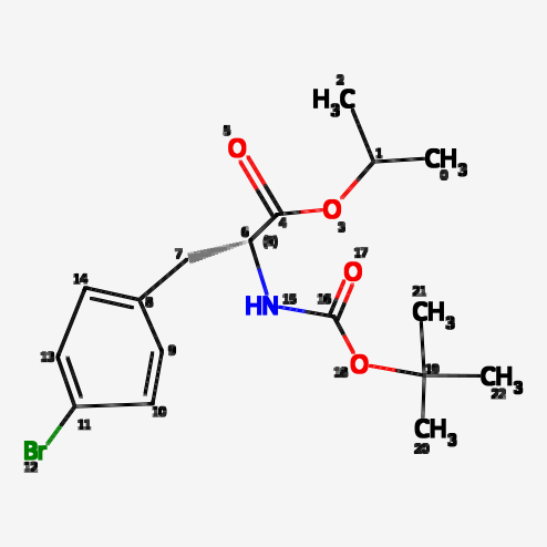 CC(C)OC(=O)[C@@H](Cc1ccc(Br)cc1)NC(=O)OC(C)(C)C